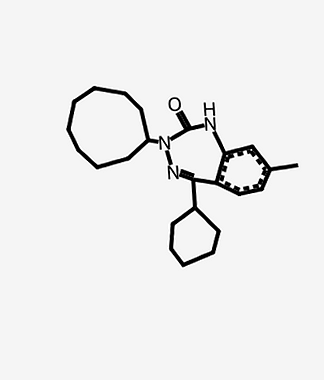 Cc1ccc2c(c1)NC(=O)N(C1CCCCCCCC1)N=C2C1CCCCC1